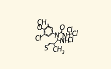 COc1ccc(N2C(=O)N(C(Cl)(Cl)Cl)NC2C(C)C=S)cc1Cl